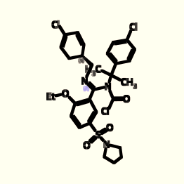 CCOc1ccc(S(=O)(=O)N2CCCC2)cc1/C(=N/C[C@@H]1C=CC(Cl)=CC1)N(C(=O)Cl)C(C)(C)c1ccc(Cl)cc1